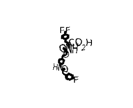 O=C(Cc1ccc(F)cc1)Nc1ccc(COC(=O)NC(Cc2ccc(C(F)F)cc2)C(=O)O)cc1